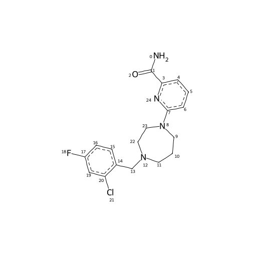 NC(=O)c1[c]ccc(N2CCCN(Cc3ccc(F)cc3Cl)CC2)n1